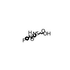 O=C(O)CCCSc1ccc(C(=O)Nc2ccc(F)cc2)cn1